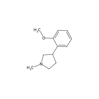 COc1ccccc1C1CCN(C)C1